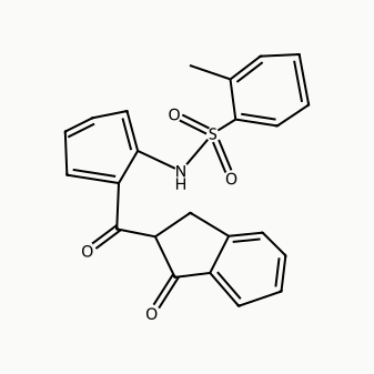 Cc1ccccc1S(=O)(=O)Nc1ccccc1C(=O)C1Cc2ccccc2C1=O